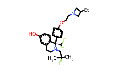 CCC1CN(CCOc2ccc([C@@]3(C(F)F)c4ccc(O)cc4CCN3CC(C)(C)F)cc2)C1